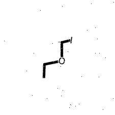 CCO[CH]I